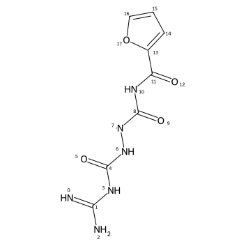 N=C(N)NC(=O)N[N]C(=O)NC(=O)c1ccco1